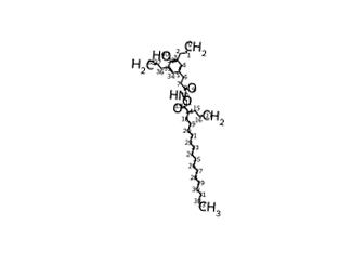 C=CCc1cc(CCC(=O)NOC(=O)C(CC=C)CCCCCCCCCCCCCCCC)cc(CC=C)c1O